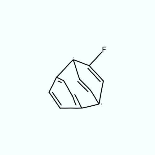 FC1=C[C]2C=C[C]1c1ccc2cc1